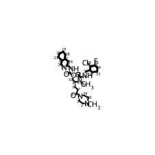 CN1CCN(C(=O)CC[C@@H](COC(=O)Nc2cc3ccccc3cn2)N(C)C(=O)NCc2cccc(F)c2Cl)CC1